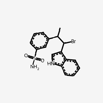 CC(c1cccc(S(N)(=O)=O)c1)C(Br)c1c[nH]c2ccccc12